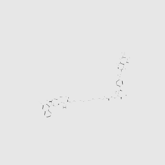 CCCCc1nc2c(N)cc3ccccc3c2n1CC(C)(C)CNC(=O)CCOCCOCCOCCNC(=O)CCC(NC(=O)c1ccc(NCc2cnc3nc(N)[nH]c(=O)c3n2)cc1)C(=O)O